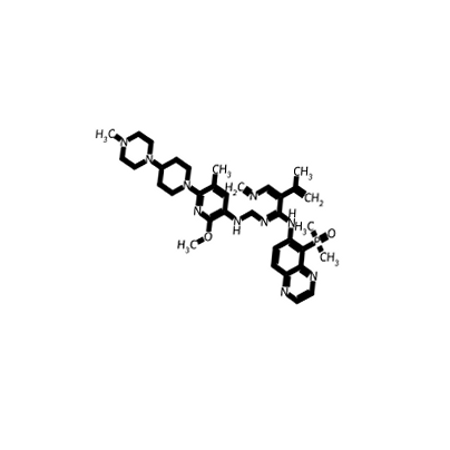 C=N/C=C(C(=C)C)\C(=N/CNc1cc(C)c(N2CCC(N3CCN(C)CC3)CC2)nc1OC)Nc1ccc2nccnc2c1P(C)(C)=O